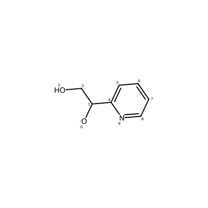 [O]C(CO)c1ccccn1